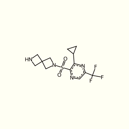 O=S(=O)(c1ncc(C(F)(F)F)nc1C1CC1)N1CC2(CNC2)C1